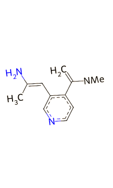 C=C(NC)c1ccncc1/C=C(\C)N